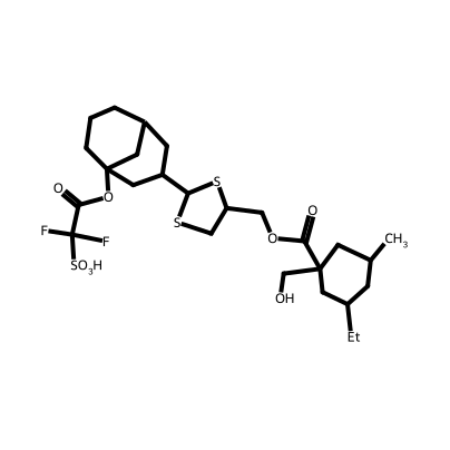 CCC1CC(C)CC(CO)(C(=O)OCC2CSC(C3CC4CCCC(OC(=O)C(F)(F)S(=O)(=O)O)(C4)C3)S2)C1